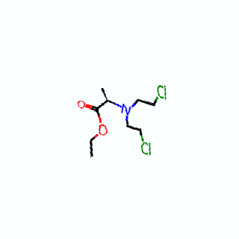 CCOC(=O)[C@@H](C)N(CCCl)CCCl